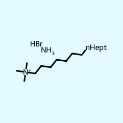 Br.CCCCCCCCCCCCCC[N+](C)(C)C.N